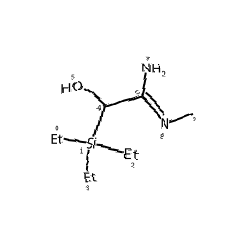 CC[Si](CC)(CC)C(O)C(N)=NC